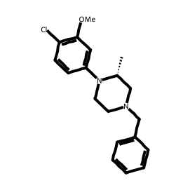 COc1cc(N2CCN(Cc3ccccc3)C[C@H]2C)ccc1Cl